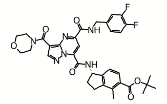 Cc1c(C(=O)OC(C)(C)C)ccc2c1CC[C@@H]2NC(=O)c1cc(C(=O)NCc2ccc(F)c(F)c2)nc2c(C(=O)N3CCOCC3)cnn12